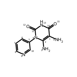 Nc1c(N)n(-c2cccnc2)c(=O)[nH]c1=O